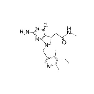 CCc1c(C)ncc(CN2CC(CC(=O)NC)c3c(Cl)nc(N)nc32)c1C